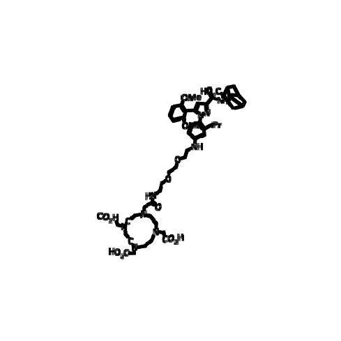 COc1cccc(OC)c1-c1cc(C(=O)NC2(C(=O)O)C3CC4CC(C3)CC2C4)nn1-c1ccc(NCCOCCOCCNC(=O)CN2CCN(CC(=O)O)CCN(CC(=O)O)CCN(CC(=O)O)CC2)cc1C(C)C